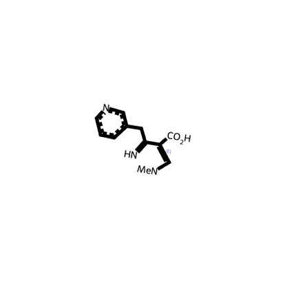 CN/C=C(\C(=N)Cc1cccnc1)C(=O)O